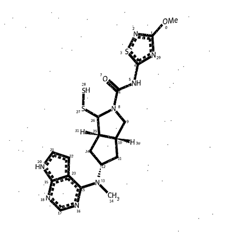 COc1nsc(NC(=O)N2C[C@@H]3C[C@H](N(C)c4ncnc5[nH]ccc45)C[C@@H]3C2SS)n1